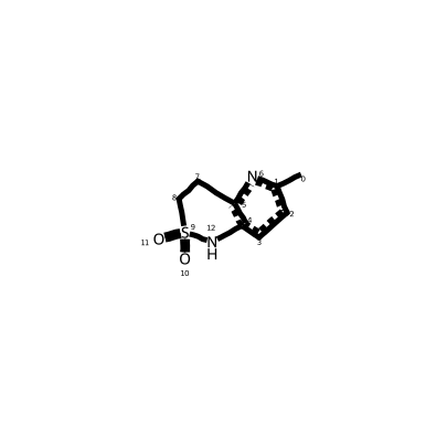 Cc1ccc2c(n1)CCS(=O)(=O)N2